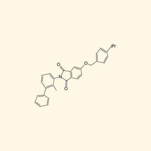 Cc1c(-c2ccccc2)cccc1N1C(=O)c2ccc(OCc3ccc(C(C)C)cc3)cc2C1=O